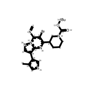 C=Nc1c(Br)c(C2CCCN(C(=O)OC(C)(C)C)C2)nc2c(-c3cscc3C)cnn12